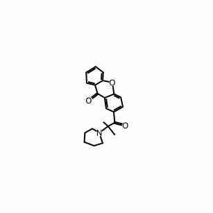 CC(C)(C(=O)c1ccc2oc3ccccc3c(=O)c2c1)N1CCCCC1